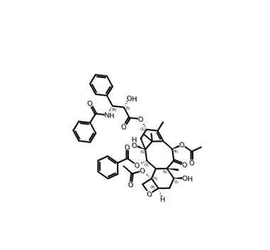 CC(=O)O[C@H]1C(=O)[C@@]2(C)C([C@H](OC(=O)c3ccccc3)[C@]3(O)C[C@H](OC(=O)[C@@H](O)[C@H](NC(=O)c4ccccc4)c4ccccc4)C(C)=C1C3(C)C)[C@]1(OC(C)=O)CO[C@@H]1C[C@@H]2O